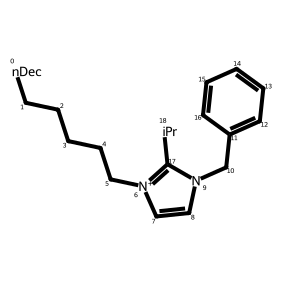 CCCCCCCCCCCCCCC[n+]1ccn(Cc2ccccc2)c1C(C)C